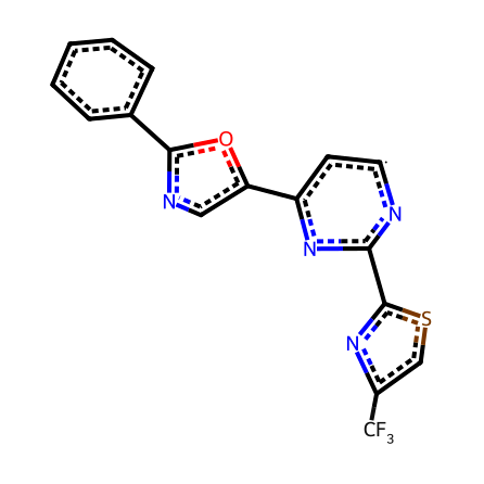 FC(F)(F)c1csc(-c2n[c]cc(-c3cnc(-c4ccccc4)o3)n2)n1